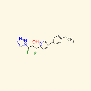 OC(C(F)c1ccc(-c2ccc(CC(F)(F)F)cc2)cn1)C(F)n1cnnn1